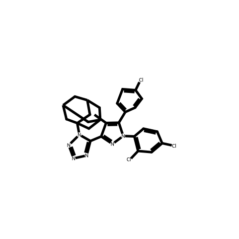 Cc1c(-c2nnnn2C23CC4CC(CC(C4)C2)C3)nn(-c2ccc(Cl)cc2Cl)c1-c1ccc(Cl)cc1